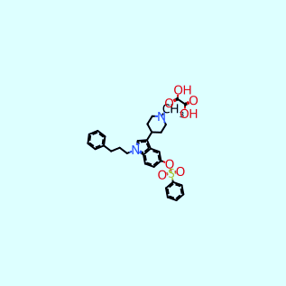 CN1CCC(c2cn(CCCc3ccccc3)c3ccc(OS(=O)(=O)c4ccccc4)cc23)CC1.O=C(O)C(=O)O